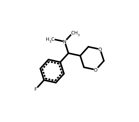 CN(C)C(c1ccc(F)cc1)C1COCOC1